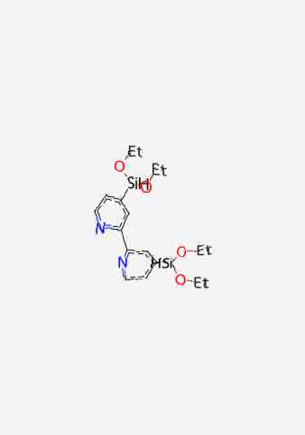 CCO[SiH](OCC)c1ccnc(-c2cc([SiH](OCC)OCC)ccn2)c1